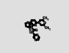 C[C@@H]1CN(c2ccc3c(n2)N(C(=O)Nc2cnccn2)[C@H]2CCN3C2)C[C@H](C)O1